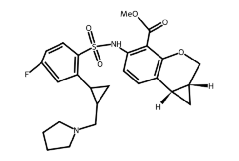 COC(=O)c1c(NS(=O)(=O)c2ccc(F)cc2C2CC2CN2CCCC2)ccc2c1OC[C@@H]1C[C@H]21